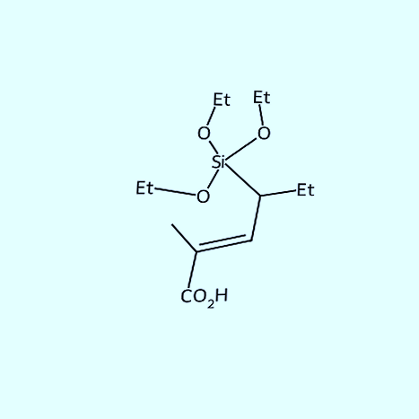 CCO[Si](OCC)(OCC)C(/C=C(\C)C(=O)O)CC